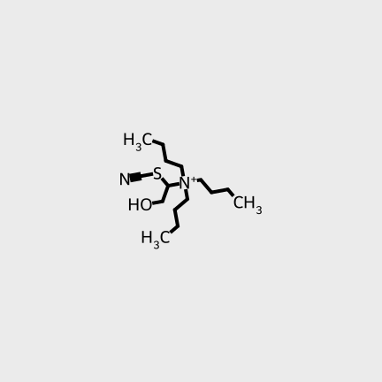 CCCC[N+](CCCC)(CCCC)C(CO)SC#N